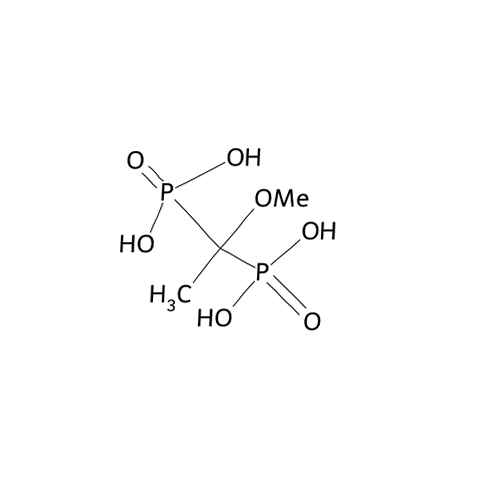 COC(C)(P(=O)(O)O)P(=O)(O)O